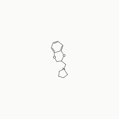 c1ccc2c(c1)OCC(CN1CCCC1)O2